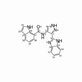 O=C(Nc1c[nH]nc1-c1nc2ccccc2[nH]1)c1cccc2cc[nH]c12